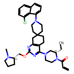 C=CC(=O)N1CCN(c2nc(OC[C@@H]3CCCN3C)nc3c2CCC2(CCN(c4cccc5cccc(Cl)c45)CC2)C3)C[C@@H]1CC#N